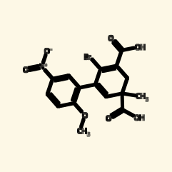 COc1ccc([N+](=O)[O-])cc1C1=CC(C)(C(=O)O)CC(C(=O)O)=C1Br